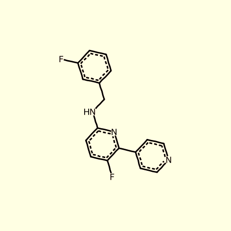 Fc1cccc(CNc2ccc(F)c(-c3ccncc3)n2)c1